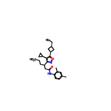 Cc1ccc(NC(=O)CC(CCC(=O)O)c2noc(C3CC(CC(C)(C)C)C3)c2C2CC2)c(C)c1